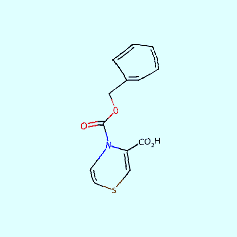 O=C(O)C1=CSC=CN1C(=O)OCc1ccccc1